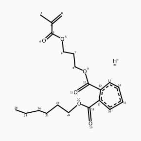 C=C(C)C(=O)OCCCOC(=O)c1ccccc1C(=O)OCCCCCC.[H+]